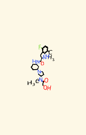 Cc1ccc(F)c2c1NC(C(=O)N[C@@H]1CCCC(N3CC[C@H](N(C)C(=O)CO)C3)C1)C2